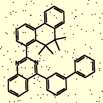 CC1(C)c2ccccc2-c2cccc(-c3nc(-c4cccc(-c5ccccc5)c4)c4ccccc4n3)c2C1(C)C